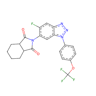 O=C1C2CCCCC2C(=O)N1c1cc2c(cc1F)nnn2-c1ccc(OC(F)(F)F)cc1